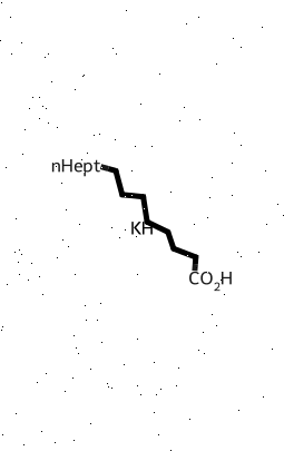 CCCCCCCCCCCCCCC(=O)O.[KH]